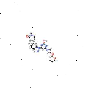 COc1nc(N2CC(OC3CCCCO3)C2)cc(-n2ncc3cc(C)c(C4CCN(C)C(=O)C4)cc32)n1